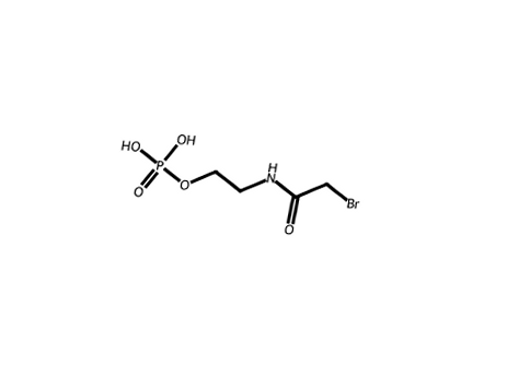 O=C(CBr)NCCOP(=O)(O)O